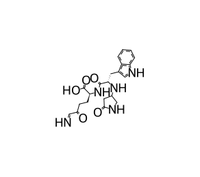 N=CC(=O)CC[C@H](NC(=O)[C@H](Cc1c[nH]c2ccccc12)NC1CNC(=O)C1)C(=O)O